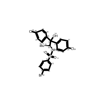 CC[C@H](C)[C@H](NS(=O)(=O)c1ccc(Br)cc1)C(O)(c1ccc(Cl)cc1)c1ccc(Cl)cc1